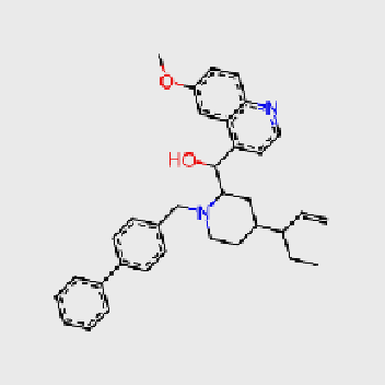 C=CC(CC)C1CCN(Cc2ccc(-c3ccccc3)cc2)C(C(O)c2ccnc3ccc(OC)cc23)C1